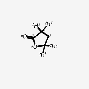 [2H]C1([2H])CC([2H])([2H])C(=O)O1